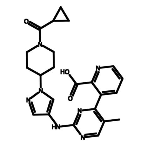 Cc1cnc(Nc2cnn(C3CCN(C(=O)C4CC4)CC3)c2)nc1-c1cccnc1C(=O)O